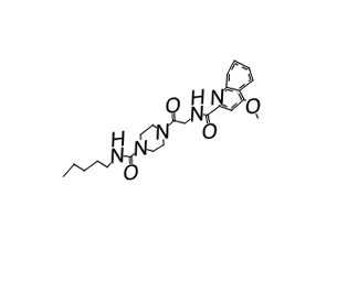 CCCCCNC(=O)N1CCN(C(=O)CNC(=O)c2cc(OC)c3ccccc3n2)CC1